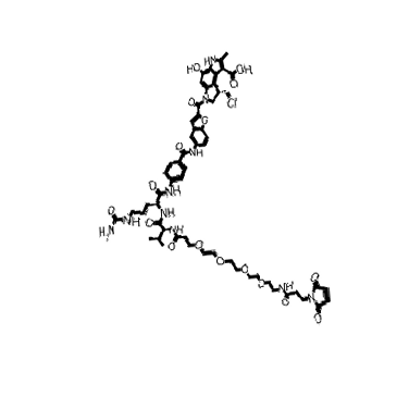 Cc1[nH]c2c(O)cc3c(c2c1C(=O)O)[C@H](CCl)CN3C(=O)c1cc2cc(NC(=O)c3ccc(NC(=O)[C@H](CCCNC(N)=O)NC(=O)[C@@H](NC(=O)CCOCCOCCOCCOCCNC(=O)CCN4C(=O)C=CC4=O)C(C)C)cc3)ccc2o1